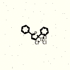 [Cl][Ti]([Cl])([Cl])[C]1(c2ccccc2)C=CC(c2ccccc2)=P1